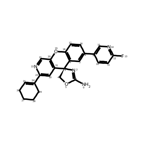 NC1=N[C@@]2(CO1)c1cc(-c3ccc(F)nc3)ccc1Oc1cnc(C3=CCCCC3)cc12